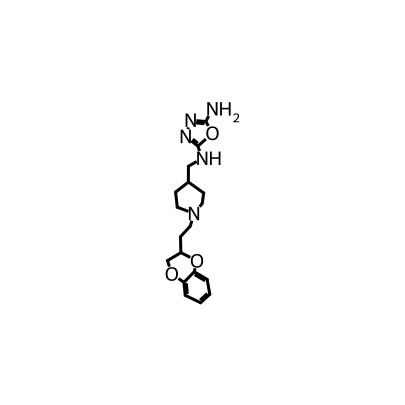 Nc1nnc(NCC2CCN(CCC3COc4ccccc4O3)CC2)o1